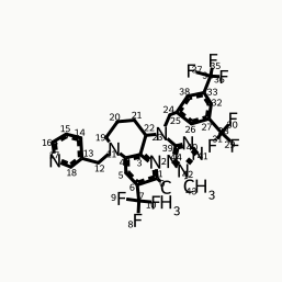 Cc1nc2c(cc1C(F)(F)F)N(Cc1cccnc1)CCCC2N(Cc1cc(C(F)(F)F)cc(C(F)(F)F)c1)c1nnn(C)n1